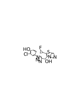 Oc1ccc(-n2cc(C(O)c3c(C4CC4F)sc4cncn34)nn2)cc1Cl